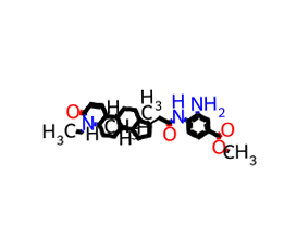 CCN1C(=O)C=C[C@]2(C)[C@H]3CC[C@]4(C)[C@@H](CC(=O)Nc5ccc(C(=O)OC)cc5N)CC[C@H]4[C@@H]3CC[C@@H]12